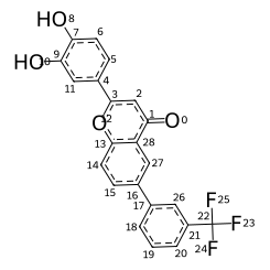 O=c1cc(-c2ccc(O)c(O)c2)oc2ccc(-c3cccc(C(F)(F)F)c3)cc12